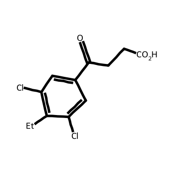 CCc1c(Cl)cc(C(=O)CCC(=O)O)cc1Cl